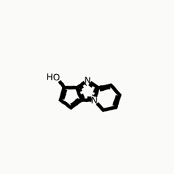 OC1=CC=c2c1nc1n2CC=CC=1